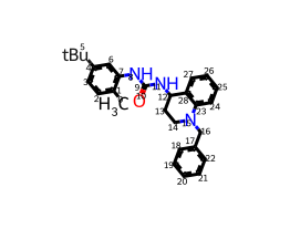 Cc1ccc(C(C)(C)C)cc1NC(=O)NC1CCN(Cc2ccccc2)c2ccccc21